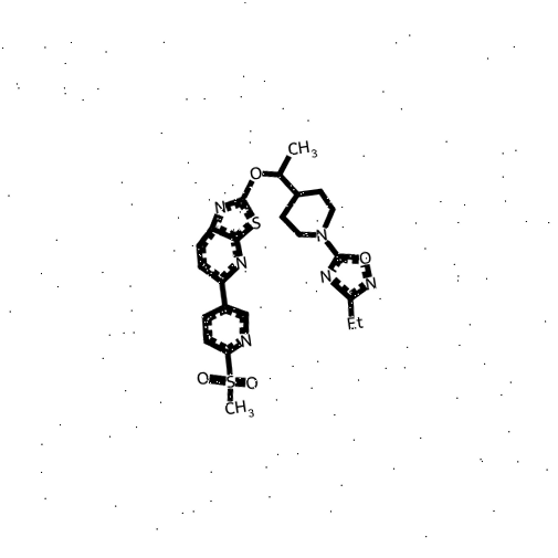 CCc1noc(N2CCC(C(C)Oc3nc4ccc(-c5ccc(S(C)(=O)=O)nc5)nc4s3)CC2)n1